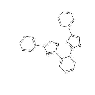 c1ccc(-c2coc(-c3ccccc3-c3nc(-c4ccccc4)co3)n2)cc1